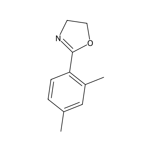 Cc1ccc(C2=NCCO2)c(C)c1